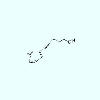 OCCCC#Cc1cccnc1